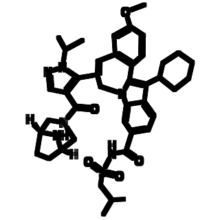 COc1ccc2c(c1)C=C(c1c(C(=O)N3C[C@H]4CC[C@@H](C3)N4)cnn1C(C)C)Cn1c-2c(C2CCCCC2)c2ccc(C(=O)NS(=O)(=O)CC(C)C)cc21